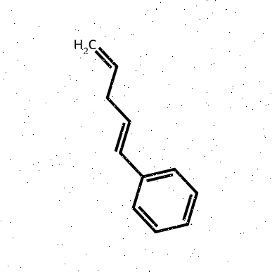 C=CCC=Cc1cc[c]cc1